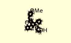 CCc1c(-c2ccccc2C)c2c(c3c1N(C(C)C[C@@H](C)[C@@H](C)O)C1C=CC=CC31)CN(Cc1ccc(OC)cc1)C2=O